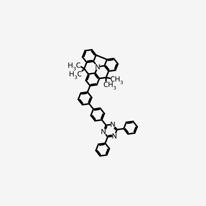 CC1(C)c2cc(-c3cccc(-c4ccc(-c5nc(-c6ccccc6)nc(-c6ccccc6)n5)cc4)c3)cc3c2-n2c4c1cccc4c1cccc(c12)C3(C)C